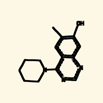 Cc1cc2c(N3CCCCC3)ncnc2cc1O